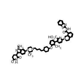 Cc1c(OC2CCC(CCCCN3CCN(c4ccc5c(C6CCC(=O)NC6=O)nn(C)c5c4)[C@@H](C(F)(F)F)C3)CC2)cccc1-c1ccc(N2CCc3cccc(C(=O)Nc4nc5ccccc5s4)c3C2)nc1C(=O)O